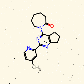 Cc1ccnc(-c2nc3c(c(N4CCCCCC4=O)n2)CCC3)c1